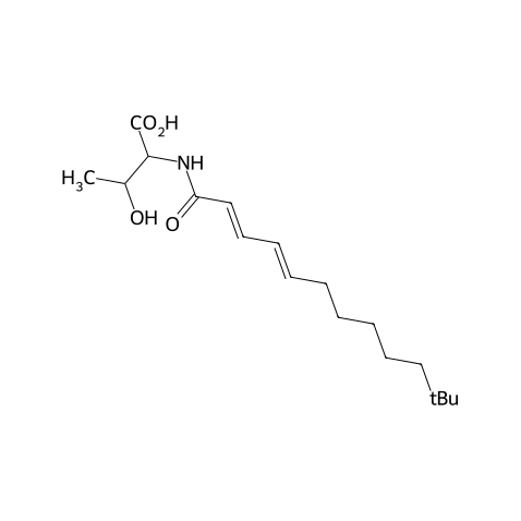 CC(O)C(NC(=O)/C=C/C=C/CCCCCC(C)(C)C)C(=O)O